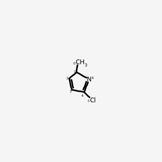 CC1C=CC(Cl)=N1